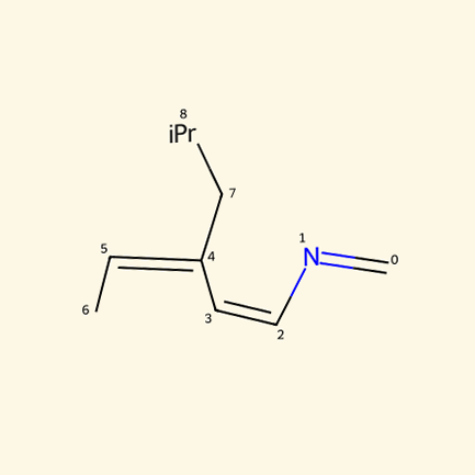 C=N/C=C\C(=C/C)CC(C)C